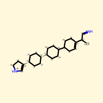 CCC(C=N)C1=CCC(C2CCC([C@H]3CC[C@@H](C4=CNCC4)CC3)CC2)CC1